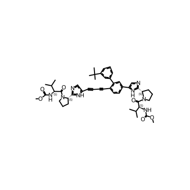 COC(=O)N[C@H](C(=O)N1CCC[C@H]1c1ncc(C#CC#Cc2ccc(-c3cnc([C@@H]4CCCN4C(=O)[C@@H](NC(=O)OC)C(C)C)[nH]3)cc2-c2cccc(C(C)(C)C)c2)[nH]1)C(C)C